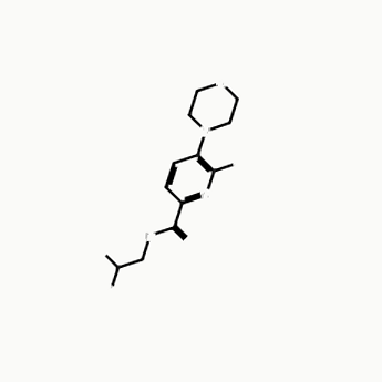 O=C(NCC(F)F)c1ccc(N2CCNCC2)c(Cl)n1